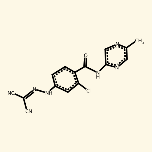 Cc1cnc(NC(=O)c2ccc(NN=C(C#N)C#N)cc2Cl)cn1